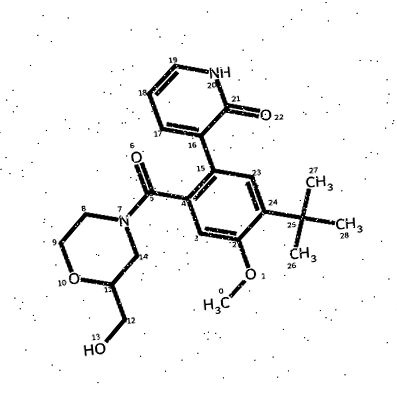 COc1cc(C(=O)N2CCOC(CO)C2)c(-c2ccc[nH]c2=O)cc1C(C)(C)C